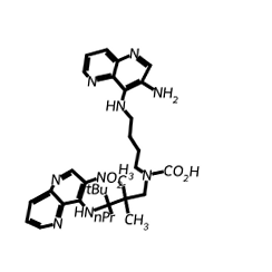 [CH2]CCC(Nc1c([N+](=O)[O-])cnc2cccnc12)(C(C)(C)C)C(C)(C)CN(CCCCNc1c(N)cnc2cccnc12)C(=O)O